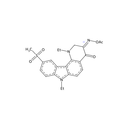 CCN1C/C(=N/OC(C)=O)C(=O)c2ccc3c(c21)c1cc(S(C)(=O)=O)ccc1n3CC